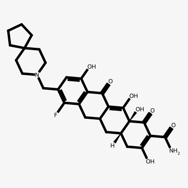 NC(=O)C1=C(O)C[C@@H]2CC3Cc4c(F)c(CN5CCC6(CCCC6)CC5)cc(O)c4C(=O)C3=C(O)[C@]2(O)C1=O